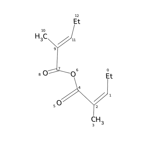 CCC=C(C)C(=O)OC(=O)C(C)=CCC